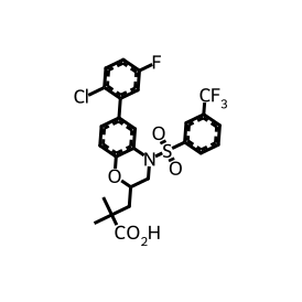 CC(C)(CC1CN(S(=O)(=O)c2cccc(C(F)(F)F)c2)c2cc(-c3cc(F)ccc3Cl)ccc2O1)C(=O)O